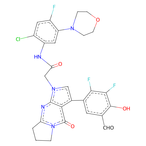 O=Cc1cc(-c2cn(CC(=O)Nc3cc(N4CCOCC4)c(F)cc3Cl)c3nc4n(c(=O)c23)CCC4)c(F)c(F)c1O